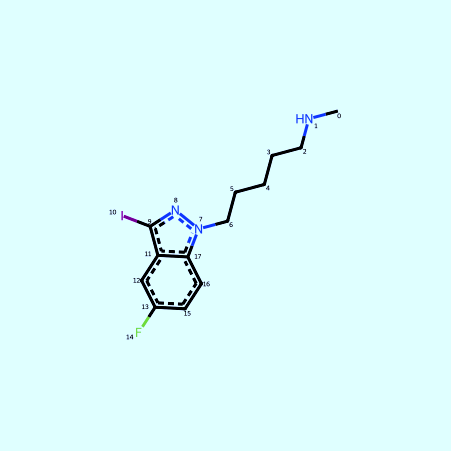 CNCCCCCn1nc(I)c2cc(F)ccc21